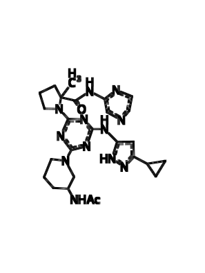 CC(=O)NC1CCCN(c2nc(Nc3cc(C4CC4)n[nH]3)nc(N3CCCC3(C)C(=O)Nc3cnccn3)n2)C1